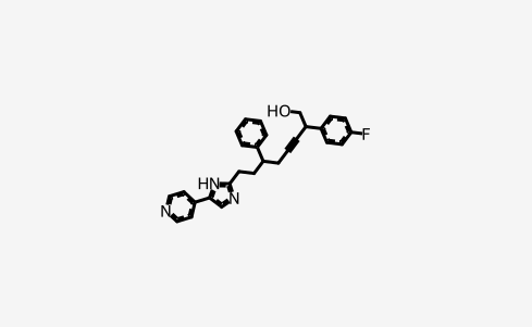 OCC(C#CCC(CCc1ncc(-c2ccncc2)[nH]1)c1ccccc1)c1ccc(F)cc1